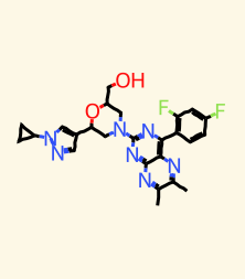 Cc1nc2nc(N3CC(CO)OC(c4cnn(C5CC5)c4)C3)nc(-c3ccc(F)cc3F)c2nc1C